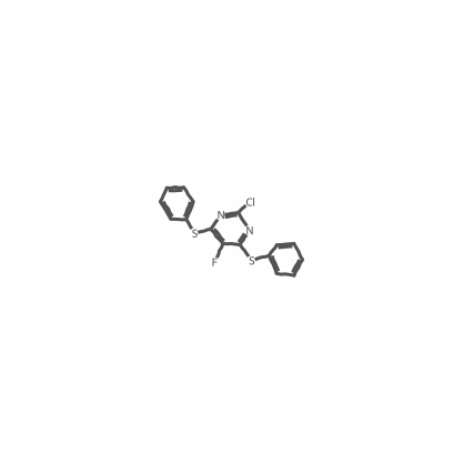 Fc1c(Sc2ccccc2)nc(Cl)nc1Sc1ccccc1